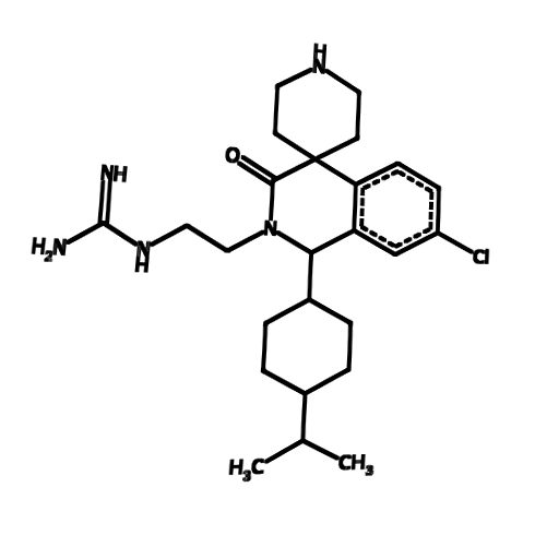 CC(C)C1CCC(C2c3cc(Cl)ccc3C3(CCNCC3)C(=O)N2CCNC(=N)N)CC1